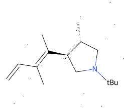 C=C/C(C)=C(\C)[C@@H]1CN(C(C)(C)C)C[C@H]1C